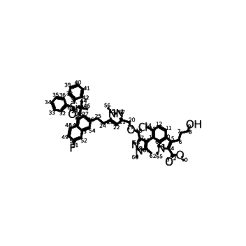 COC(=O)c1c(CCCO)c2ccc(Cl)c(-c3c(COCc4cc(CCc5cc(O[Si](c6ccccc6)(c6ccccc6)C(C)(C)C)c6ccc(F)cc6c5)n(C)n4)nn(C)c3C)c2n1C